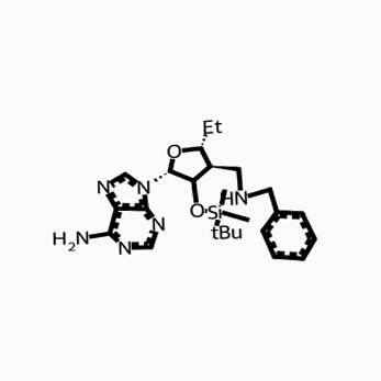 CC[C@H]1O[C@@H](n2cnc3c(N)ncnc32)C(O[Si](C)(C)C(C)(C)C)[C@@H]1CNCc1ccccc1